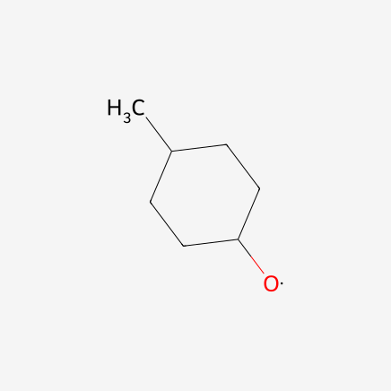 CC1CCC([O])CC1